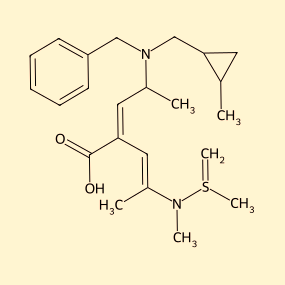 C=S(C)N(C)/C(C)=C/C(=C\C(C)N(Cc1ccccc1)CC1CC1C)C(=O)O